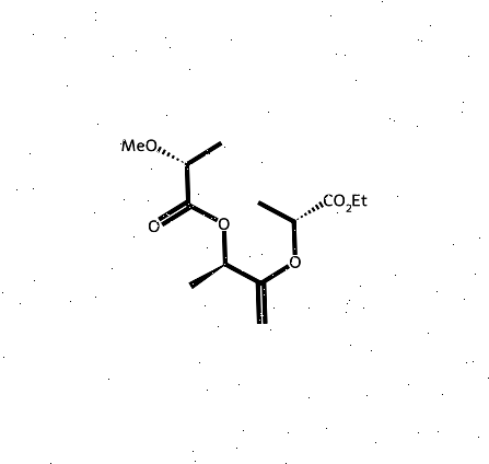 C=C(O[C@H](C)C(=O)OCC)[C@@H](C)OC(=O)[C@@H](C)OC